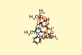 COc1ccccc1-n1c(C)cn([C@@H]2[C@H]3OC(C)(C)O[C@H]3O[C@@H]2[C@H]2COC(C)(C)O2)c1=S